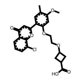 COc1cc(OCCOC2CC(C(=O)O)C2)c(-c2cc(=O)c3cccc(Cl)c3o2)cc1C